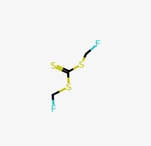 FCSC(=S)SCF